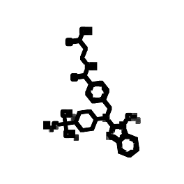 Cn1c(N(Cc2ccc(C(=O)NCCC(=O)O)cc2)C2CCC(C(C)(C)C)CC2)nc2ccccc21